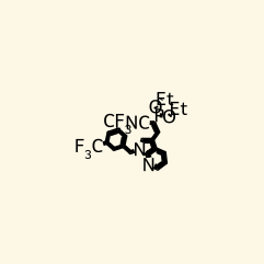 CCOP(OCC)/C(C#N)=C/c1cn(CC2=CC(C(F)(F)F)=CC(C(F)(F)F)C2)c2ncccc12